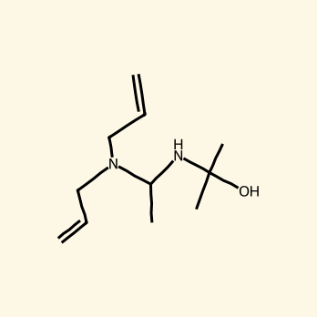 C=CCN(CC=C)C(C)NC(C)(C)O